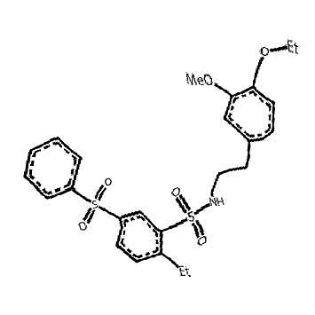 CCOc1ccc(CCNS(=O)(=O)c2cc(S(=O)(=O)c3ccccc3)ccc2CC)cc1OC